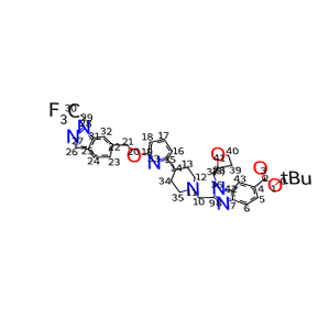 CC(C)(C)OC(=O)c1ccc2nc(CN3CCC(c4cccc(OCc5ccc6cnn(CC(F)(F)F)c6c5)n4)CC3)n(C[C@@H]3CCO3)c2c1